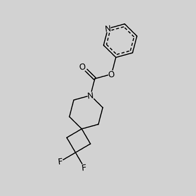 O=C(Oc1cccnc1)N1CCC2(CC1)CC(F)(F)C2